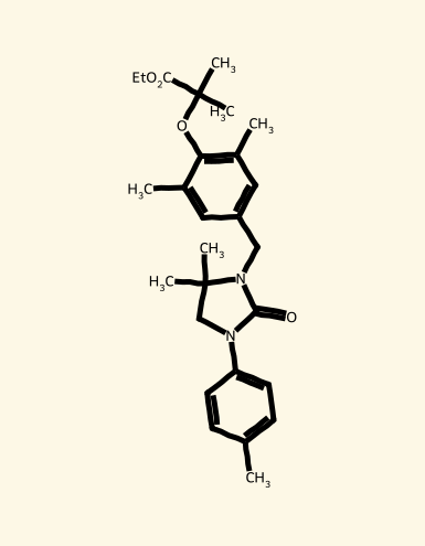 CCOC(=O)C(C)(C)Oc1c(C)cc(CN2C(=O)N(c3ccc(C)cc3)CC2(C)C)cc1C